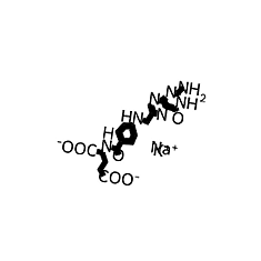 Nc1nc2ncc(CNc3ccc(C(=O)NC(CCC(=O)[O-])C(=O)[O-])cc3)nc2c(=O)[nH]1.[K+].[Na+]